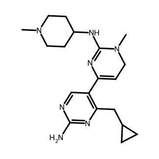 CN1CCC(NC2=NC(c3cnc(N)nc3CC3CC3)=CCN2C)CC1